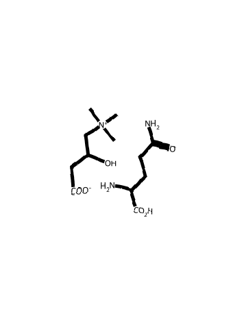 C[N+](C)(C)CC(O)CC(=O)[O-].NC(=O)CCC(N)C(=O)O